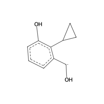 O[CH]c1cccc(O)c1C1CC1